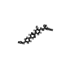 CCCCCCCCCCc1ccc(-c2cnc(-c3ccc(COC(CCCCCC)C(F)(F)F)c(F)c3)nc2)cc1